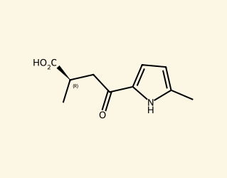 Cc1ccc(C(=O)C[C@@H](C)C(=O)O)[nH]1